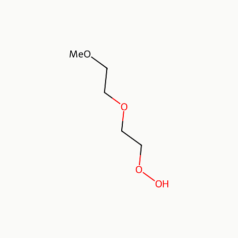 COCCOCCOO